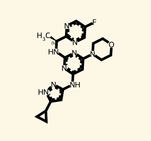 C[C@H](Nc1nc(Nc2cc(C3CC3)[nH]n2)cc(N2CCOCC2)n1)c1ncc(F)cn1